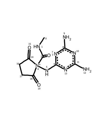 CNC(=O)[N+]1(Nc2nc(N)nc(N)n2)C(=O)CCC1=O